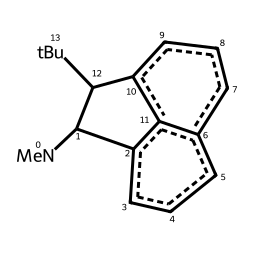 CNC1c2cccc3cccc(c23)C1C(C)(C)C